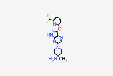 CC1(N)CCN(c2cnc3c(Oc4cccc(C(F)F)n4)n[nH]c3n2)CC1